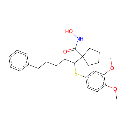 COc1ccc(SC(CCCCc2ccccc2)C2(C(=O)NO)CCCC2)cc1OC